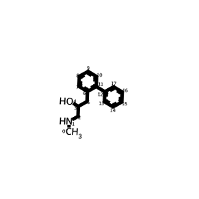 CNCC(O)Cc1ccccc1-c1ccccc1